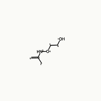 C=C(C)NOCCO